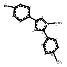 CCCCCCn1cc(-c2ccc(Br)cc2)nc1-c1ccc([N+](=O)[O-])cc1